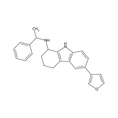 CC(NC1CCCc2c1[nH]c1ccc(-c3ccoc3)cc21)c1ccccc1